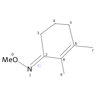 CO/N=C1\CCCC(C)=C1C